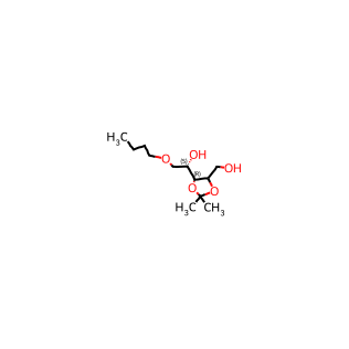 CCCCOC[C@H](O)[C@H]1OC(C)(C)OC1CO